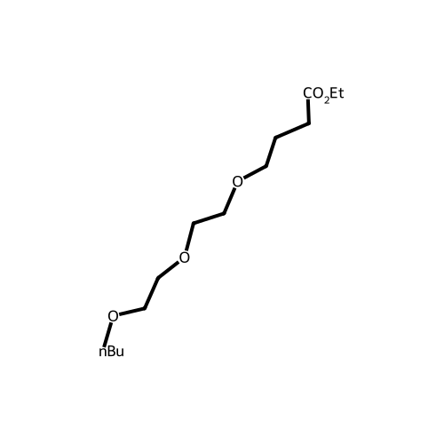 CCCCOCCOCCOCCCC(=O)OCC